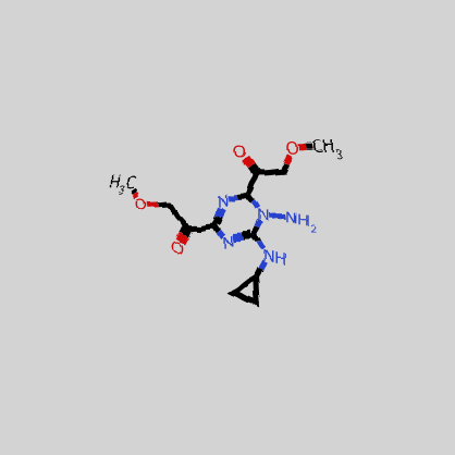 COCC(=O)C1=NC(C(=O)COC)N(N)C(NC2CC2)=N1